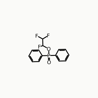 O=P(OC(F)C(F)F)(c1ccccc1)c1ccccc1